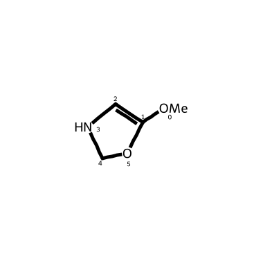 COC1=CN[CH]O1